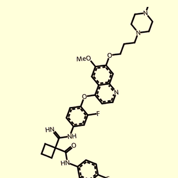 COc1cc2c(Oc3ccc(NC(=N)C4(C(=O)Nc5ccc(F)cc5)CCC4)cc3F)ccnc2cc1OCCCN1CCN(C)CC1